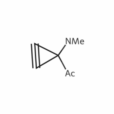 CNC1(C(C)=O)C#C1